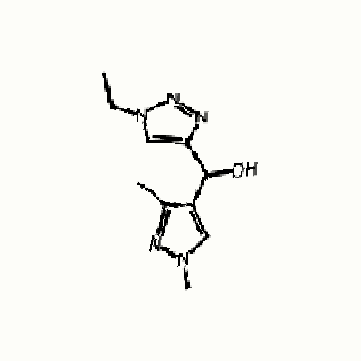 CCn1cc(C(O)c2cn(C)nc2C)nn1